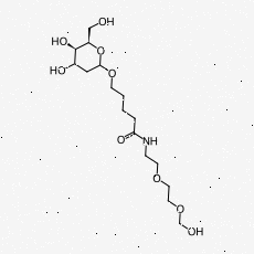 O=C(CCCCOC1CC(O)[C@@H](O)[C@@H](CO)O1)NCCOCCOCO